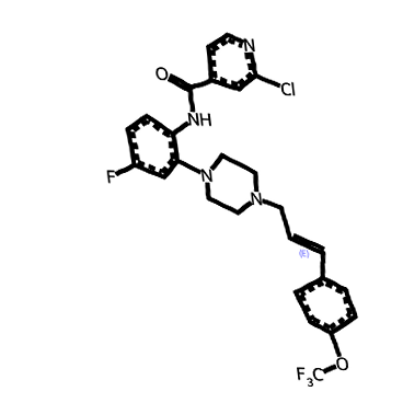 O=C(Nc1ccc(F)cc1N1CCN(C/C=C/c2ccc(OC(F)(F)F)cc2)CC1)c1ccnc(Cl)c1